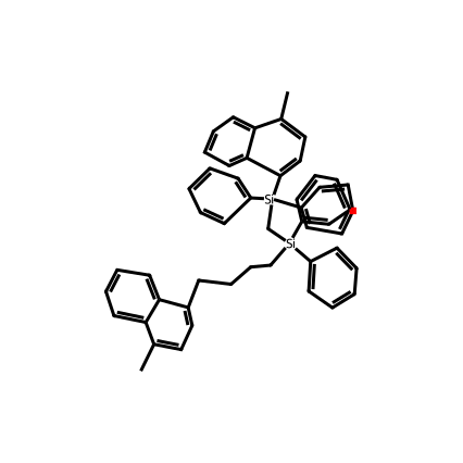 Cc1ccc(CCCC[Si](C[Si](c2ccccc2)(c2ccccc2)c2ccc(C)c3ccccc23)(c2ccccc2)c2ccccc2)c2ccccc12